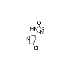 O=c1[nH]c(-c2cncc(Cl)c2)ns1